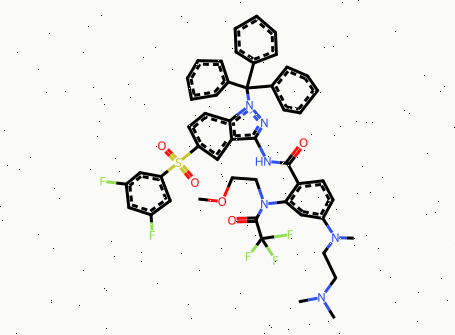 COCCN(C(=O)C(F)(F)F)c1cc(N(C)CCN(C)C)ccc1C(=O)Nc1nn(C(c2ccccc2)(c2ccccc2)c2ccccc2)c2ccc(S(=O)(=O)c3cc(F)cc(F)c3)cc12